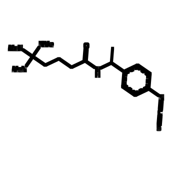 CNC(CCCC(=O)NC(C)c1ccc(N=C=S)cc1)(NC)NC